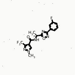 C[C@H](NC(=O)c1cn(C)nc1C(F)(F)F)c1nc(-c2cccc(F)c2)no1